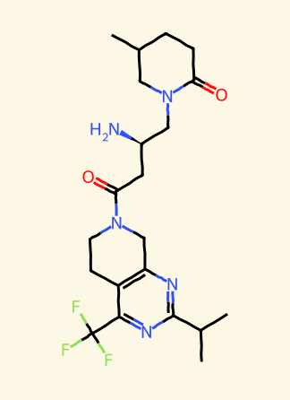 CC1CCC(=O)N(C[C@H](N)CC(=O)N2CCc3c(nc(C(C)C)nc3C(F)(F)F)C2)C1